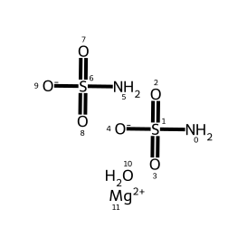 NS(=O)(=O)[O-].NS(=O)(=O)[O-].O.[Mg+2]